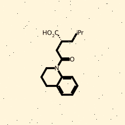 CC(C)C[C@H](CC(=O)N1CCCc2ccccc21)C(=O)O